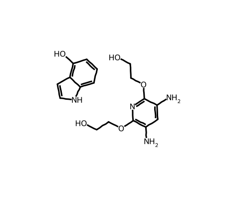 Nc1cc(N)c(OCCO)nc1OCCO.Oc1cccc2[nH]ccc12